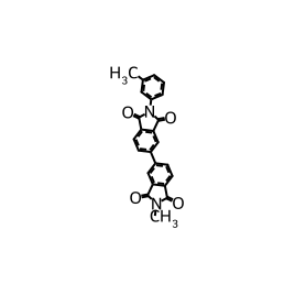 Cc1cccc(N2C(=O)c3ccc(-c4ccc5c(c4)C(=O)N(C)C5=O)cc3C2=O)c1